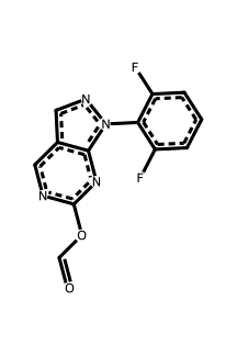 O=COc1ncc2cnn(-c3c(F)cccc3F)c2n1